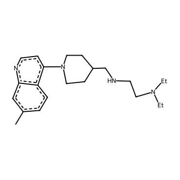 CCN(CC)CCNCC1CCN(c2ccnc3cc(C)ccc23)CC1